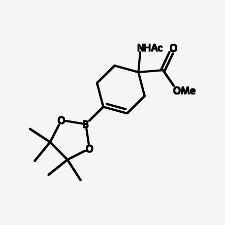 COC(=O)C1(NC(C)=O)CC=C(B2OC(C)(C)C(C)(C)O2)CC1